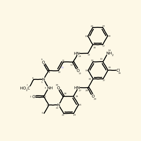 CC(C(=O)NN(CC(=O)O)C(=O)/C=C/C(=O)NCc1ccccc1)n1cccc(NC(=O)c2ccc(N)c(Cl)c2)c1=O